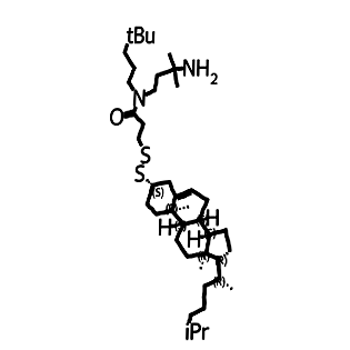 CC(C)CCC[C@@H](C)[C@H]1CC[C@H]2[C@@H]3CC=C4C[C@@H](SSCCC(=O)N(CCCC(C)(C)C)CCC(C)(C)N)CC[C@]4(C)[C@H]3CC[C@]12C